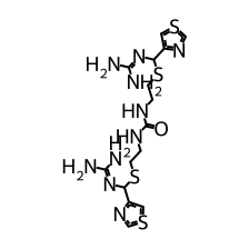 NC(N)=NC(SCCNC(=O)NCCSC(N=C(N)N)c1cscn1)c1cscn1